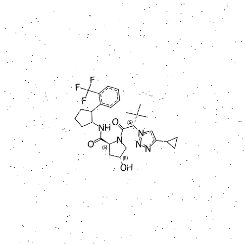 CC(C)(C)[C@@H](C(=O)N1C[C@H](O)C[C@H]1C(=O)NC1CCCC1c1ccccc1C(F)(F)F)n1cc(C2CC2)nn1